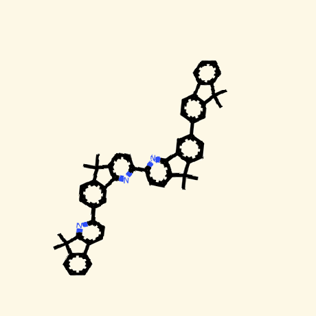 CC1(C)c2ccccc2-c2ccc(-c3ccc4c(c3)-c3nc(-c5ccc6c(n5)-c5cc(-c7ccc8c(n7)C(C)(C)c7ccccc7-8)ccc5C6(C)C)ccc3C4(C)C)cc21